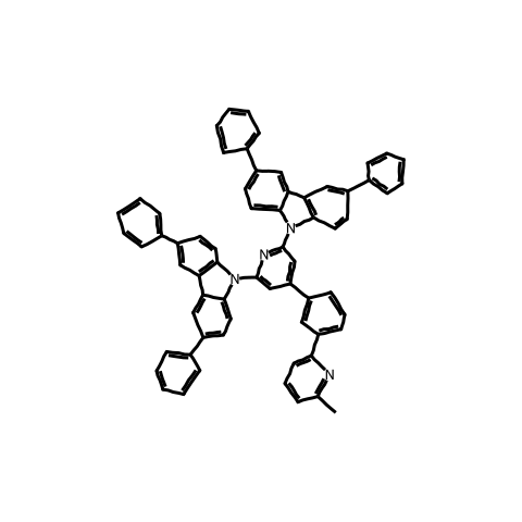 Cc1cccc(-c2cccc(-c3cc(-n4c5ccc(-c6ccccc6)cc5c5cc(-c6ccccc6)ccc54)nc(-n4c5ccc(-c6ccccc6)cc5c5cc(-c6ccccc6)ccc54)c3)c2)n1